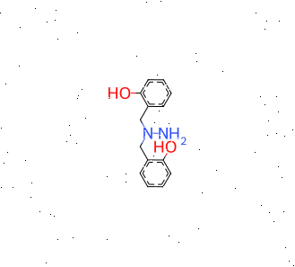 NN(Cc1ccccc1O)Cc1ccccc1O